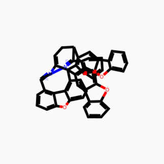 C1=C2/N=C3\N=C(\c4ccccc4)C(C1)c1cc4c(cc1C2(c1ccc2oc5ccccc5c2c1)c1cccc2oc5cccc3c5c12)oc1ccccc14